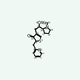 COC(CC1=CSC(Cc2ccccn2)C1=O)C1CCCN1C